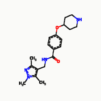 Cc1nn(C)c(C)c1CNC(=O)c1ccc(OC2CCNCC2)cc1